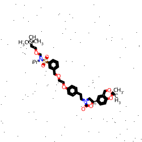 CC(C)N(COCC[Si](C)(C)C)S(=O)(=O)c1cccc(COCCOc2ccc(CCN3C[C@@H](c4ccc5c(c4)COC(C)(C)O5)OC3=O)cc2)c1